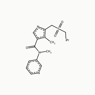 CC(C)CS(=O)(=O)Cc1ncc(C(=O)N(C)c2cccnc2)n1C